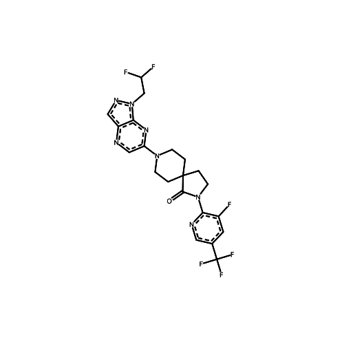 O=C1N(c2ncc(C(F)(F)F)cc2F)CCC12CCN(c1cnc3cnn(CC(F)F)c3n1)CC2